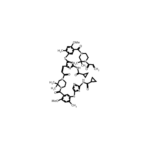 C=CC(=O)N1CCN(C(=O)c2cc(Sc3sc(NC(=O)C4CC4)nc3/C=C\C(=O)N3CCN(C(=O)c4cc(Sc5cnc(NC(=O)C6CC6)s5)c(C)cc4OC)C(C)(C)C3)c(C)cc2OC)CC1(C)C